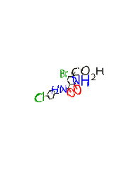 O=C(O)c1[nH]c(=O)c(C(=O)NCc2ccc(Cl)cc2)cc1Br